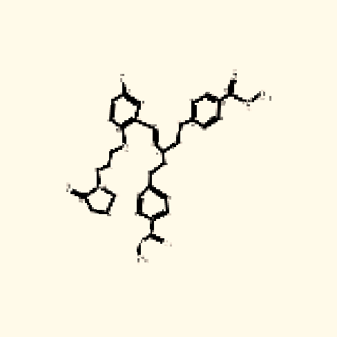 COC(=O)c1ccc(CCC(C=Cc2cc(F)ccc2OCCCN2CCCC2=O)CCc2ccc(C(=O)OC)cc2)cc1